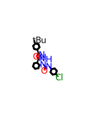 CC(C)(C)c1ccc(-c2nnc(-c3ccccc3NC(=O)Nc3ccc(Cl)cc3)o2)cc1